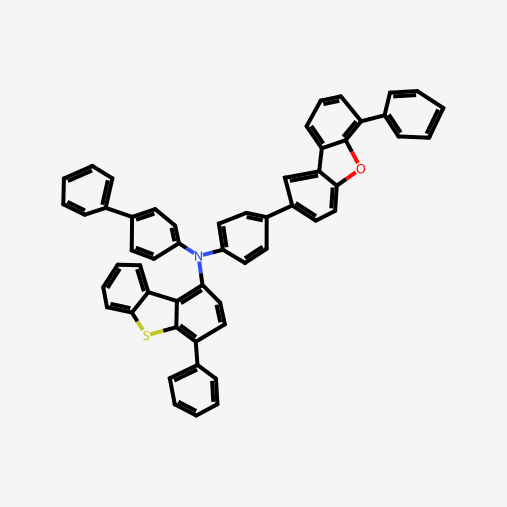 c1ccc(-c2ccc(N(c3ccc(-c4ccc5oc6c(-c7ccccc7)cccc6c5c4)cc3)c3ccc(-c4ccccc4)c4sc5ccccc5c34)cc2)cc1